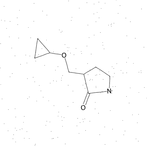 O=C1[N]CCC1COC1CC1